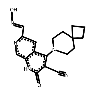 N#Cc1c(N2CCC3(CCC3)CC2)c2cc(/C=N/O)ncc2[nH]c1=O